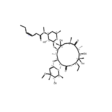 CC/C=C\CC(=O)N(C)[C@H]1C[C@@H](C)O[C@@H](O[C@@H]2[C@@H](C)[C@H](O[C@H]3C[C@@](C)(OC)[C@@H](O)[C@H](C)O3)[C@@H](C)C(=O)O[C@H](CC)[C@@](C)(O)[C@H](O)[C@@H](C)C(=O)[C@H](C)C[C@@]2(C)O)[C@@H]1O